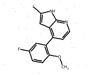 COc1ccc(F)cc1-c1ccnc2[nH]c(I)cc12